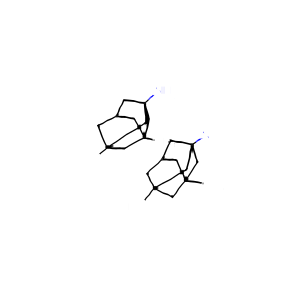 CC12CC3CC(C)(C1)CC(N)(C3)C2.CC12CC3CC(C)(C1)CC(N)(C3)C2